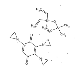 C=C[Si](C)(C=C)O[Si](C)(C)C.O=C1C=C(N2CC2)C(=O)C(N2CC2)=C1N1CC1